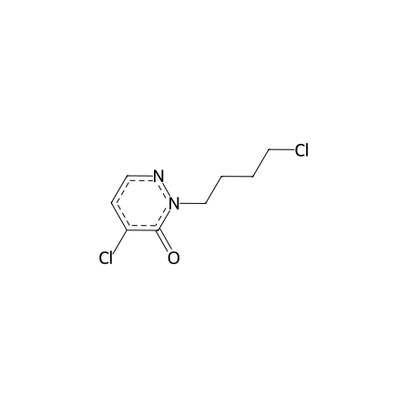 O=c1c(Cl)ccnn1CCCCCl